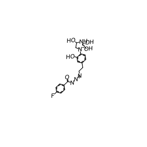 O=C(N=[N+]=NCCc1ccc(N2CC(O)NS2(O)O)c(O)c1)c1ccc(F)cc1